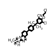 CC(C)(c1ccc(-c2ccc3nc(NS(C)(=O)=O)nnc3c2)cc1)c1cc(Cl)c(OCCCl)c(C#N)c1